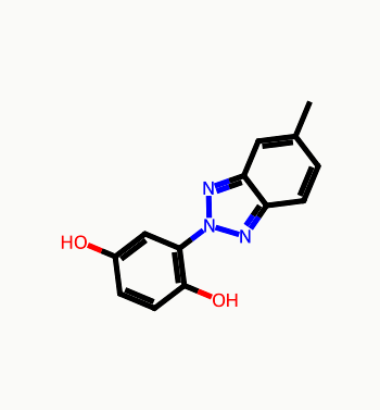 Cc1ccc2nn(-c3cc(O)ccc3O)nc2c1